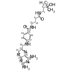 C[Si](C)(O)CCNC(=O)CCCNC(=O)c1ccc(NCc2cnc3nc(N)nc(N)c3n2)cc1